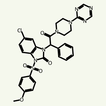 COc1ccc(S(=O)(=O)n2c(=O)n(C(C(=O)N3CCN(c4ncncn4)CC3)c3ccccc3)c3cc(Cl)ccc32)cc1